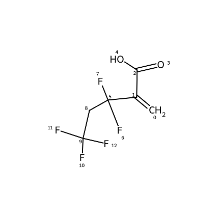 C=C(C(=O)O)C(F)(F)CC(F)(F)F